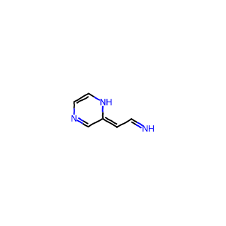 N=C/C=C1/C=NC=CN1